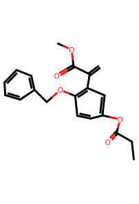 C=C(C(=O)OC)c1cc(OC(=O)CC)ccc1OCc1ccccc1